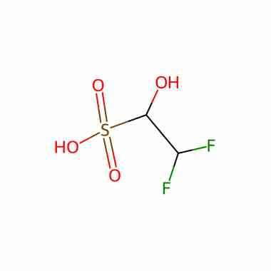 O=S(=O)(O)C(O)C(F)F